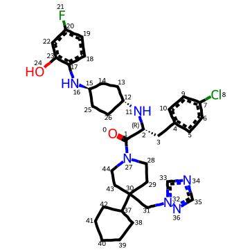 O=C([C@@H](Cc1ccc(Cl)cc1)N[C@H]1CC[C@H](Nc2ccc(F)cc2O)CC1)N1CCC(Cn2cncn2)(C2CCCCC2)CC1